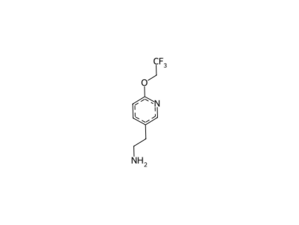 NCCc1ccc(OCC(F)(F)F)nc1